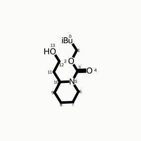 CCC(C)COC(=O)N1CCCCC1CCO